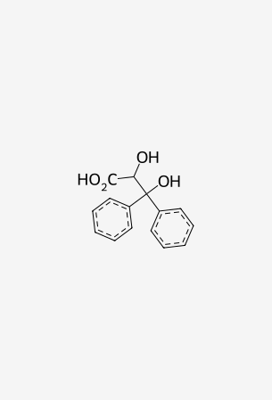 O=C(O)C(O)C(O)(c1ccccc1)c1ccccc1